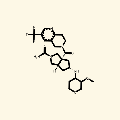 COC1COCCC1N[C@@H]1C[C@H]2CN(C(N)=S)C[C@@]2(C(=O)N2CCc3ncc(C(F)(F)F)cc3C2)C1